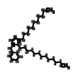 CCCCCCCCCCCCCC1N(CCCCCCCCCCC)C=CN1Cc1ccccc1